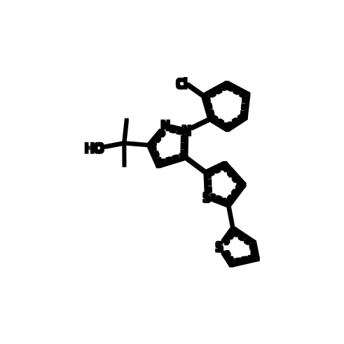 CC(C)(O)c1cc(-c2ccc(-c3cccs3)s2)n(-c2ccccc2Cl)n1